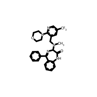 CN(Cc1cc(C(F)(F)F)cnc1N1CCOCC1)C1N=C(c2ccccc2)c2ccccc2NC1=O